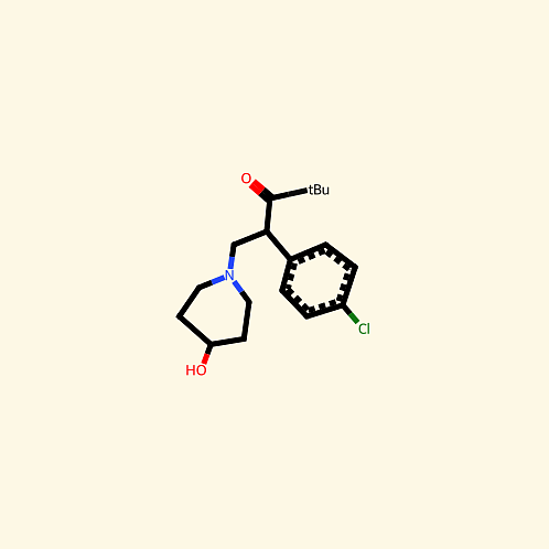 CC(C)(C)C(=O)C(CN1CCC(O)CC1)c1ccc(Cl)cc1